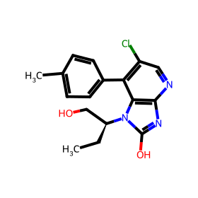 CC[C@@H](CO)n1c(O)nc2ncc(Cl)c(-c3ccc(C)cc3)c21